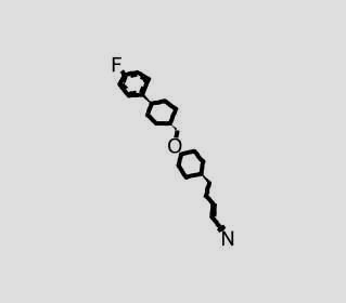 N#CC=CCC[C@H]1CC[C@H](OC[C@H]2CC[C@H](c3ccc(F)cc3)CC2)CC1